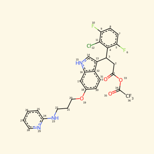 O=C(CC(c1c(F)ccc(F)c1Cl)c1c[nH]c2cc(OCCCNc3ccccn3)ccc12)OC(=O)C(F)(F)F